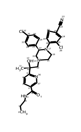 CCCNC(=O)c1ccc([C@](C)(O)CN2CCN(c3ccc(C#N)cc3Cl)[C@H](c3ccc(Cl)cc3)C2)nc1